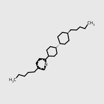 CCCCCc1ccc(C2CCC([C@H]3CC[C@H](CCCCC)CC3)CC2)nc1